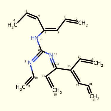 C=C/C=C(\C=C/C)NC(=N/C=C)/N=C(C=C)/C(C=C)=C/C=C